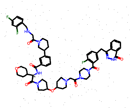 O=C(N[C@@H](C(=O)N1CCC(OC2CCN(CC(=O)N3CCN(C(=O)c4cc(Cc5n[nH]c(=O)c6ccccc56)ccc4F)CC3)CC2)CC1)C1CCOCC1)c1cccc(C2CCCN(C(=O)CNCc3ccc(F)cc3F)C2)c1